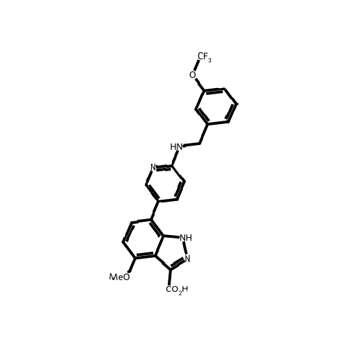 COc1ccc(-c2ccc(NCc3cccc(OC(F)(F)F)c3)nc2)c2[nH]nc(C(=O)O)c12